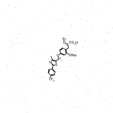 CCO[C@@H](Cc1ccc(O[C@H](C)c2sc(-c3ccc(C(F)(F)F)cc3)nc2C)cc1OC)C(=O)O